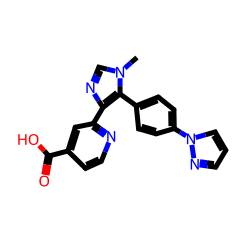 Cn1cnc(-c2cc(C(=O)O)ccn2)c1-c1ccc(-n2cccn2)cc1